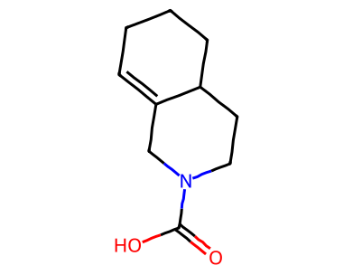 O=C(O)N1CCC2CCCC=C2C1